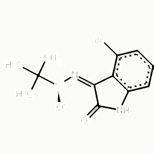 CC(C)(C)[S@+]([O-])/N=C1\C(=O)Nc2cccc(Br)c21